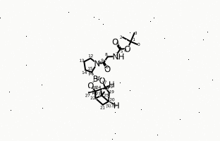 CC(C)(C)OC(=O)NCC(=O)N1CCC[C@H]1B1O[C@@H]2C[C@@H]3CC(C3(C)C)[C@]2(C)O1